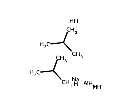 CC(C)C.CC(C)C.[AlH3].[HH].[HH].[NaH]